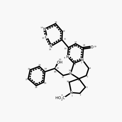 O=C(O)N1CCC2(CCn3c(nc(-c4ccncn4)cc3=O)N2C[C@H](O)c2ccccc2)C1